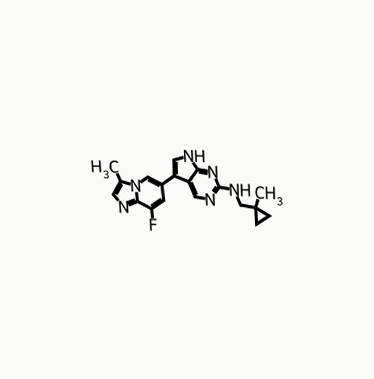 Cc1cnc2c(F)cc(-c3c[nH]c4nc(NCC5(C)CC5)ncc34)cn12